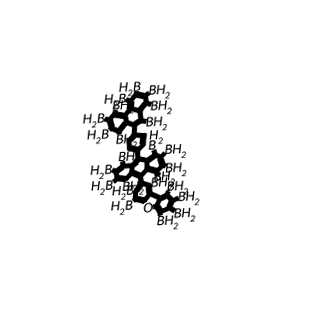 Bc1c(B)c(B)c2c(oc3c(B)c(B)c(-c4c5c(B)c(B)c(B)c(B)c5c(-c5ccc(-c6c(B)c7c(B)c(B)c(B)c(B)c7c7c(B)c(B)c(B)c(B)c67)cc5)c5c(B)c(B)c(B)c(B)c45)c(B)c32)c1B